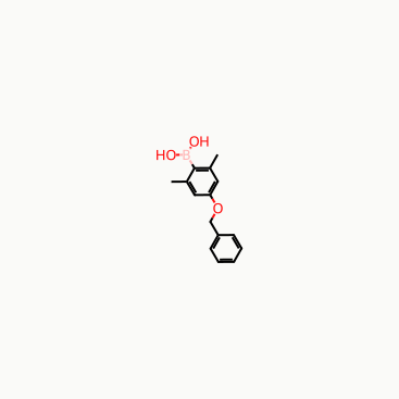 Cc1cc(OCc2ccccc2)cc(C)c1B(O)O